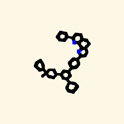 CC1(c2ccccc2)C=CC(c2cc(-c3ccccc3)cc(-c3ccc(-c4ccc5ccc6ccc(-c7ccccc7)nc6c5n4)cc3)c2)=CC1